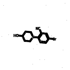 N#Cc1cc(Br)ccc1N1CCC(O)CC1